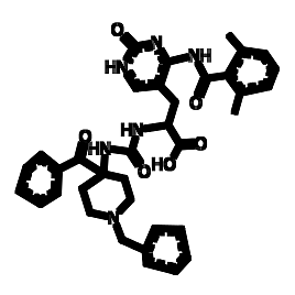 Cc1cccc(C)c1C(=O)Nc1nc(=O)[nH]cc1CC(NC(=O)NC1(C(=O)c2ccccc2)CCN(Cc2ccccc2)CC1)C(=O)O